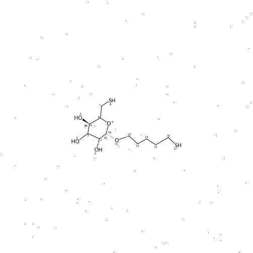 OC1C(O)[C@@H](O)C(CS)O[C@@H]1OCCCCCS